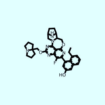 CCc1cccc2cc(O)cc(-c3nc4c5c(nc(OCC67CCCN6CCC7)nc5c3F)N3CC5CCC(N5)C3CO4)c12